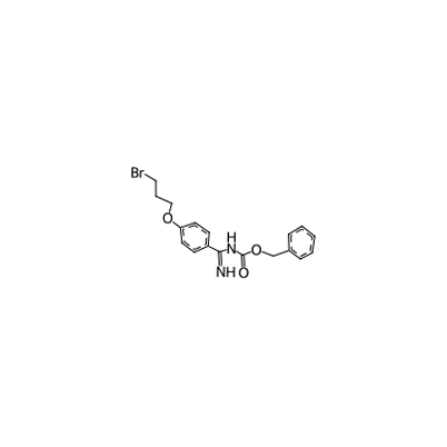 N=C(NC(=O)OCc1ccccc1)c1ccc(OCCCBr)cc1